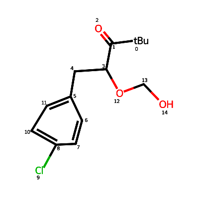 CC(C)(C)C(=O)C(Cc1ccc(Cl)cc1)OCO